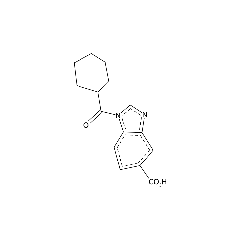 O=C(O)c1ccc2c(c1)ncn2C(=O)C1CCCCC1